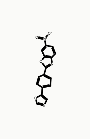 O=[N+]([O-])c1ccc2nc(-c3ccc(-c4cnco4)cc3)oc2c1